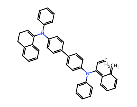 C=C/C(=c1/ccccc1=C)N(c1ccccc1)c1ccc(-c2ccc(N(C3=CCCc4ccccc43)c3ccccc3)cc2)cc1